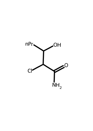 CCCC(O)C(Cl)C(N)=O